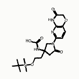 CC(C)(C)[Si](C)(C)OCCC1(NC(=O)O)CC(=O)N(c2ccc3c(n2)NC(=O)CO3)C1